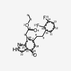 CCOC(=O)Cn1c(CCc2cccc(F)c2F)cc(=O)c2c[nH]nc21